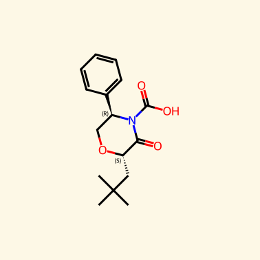 CC(C)(C)C[C@@H]1OC[C@@H](c2ccccc2)N(C(=O)O)C1=O